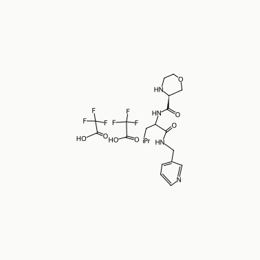 CC(C)CC(NC(=O)[C@@H]1COCCN1)C(=O)NCc1cccnc1.O=C(O)C(F)(F)F.O=C(O)C(F)(F)F